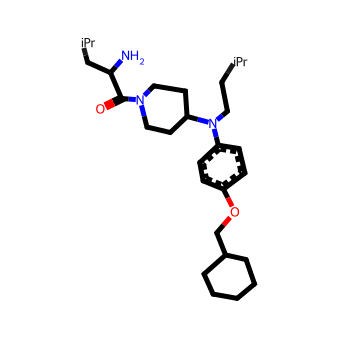 CC(C)CCN(c1ccc(OCC2CCCCC2)cc1)C1CCN(C(=O)C(N)CC(C)C)CC1